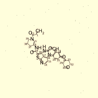 C=CC(=O)N1C=C(NC(=O)c2sc3nccc4c3c2NC(=O)N4c2ccc(OC3CCOCC3)cc2C)CCC1